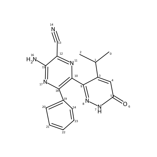 CC(C)c1cc(=O)[nH]nc1-c1nc(C#N)c(N)nc1-c1ccccc1